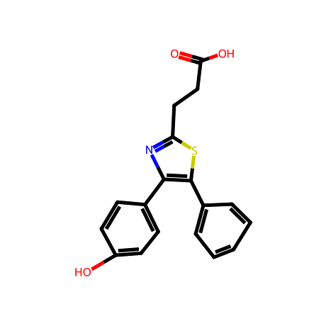 O=C(O)CCc1nc(-c2ccc(O)cc2)c(-c2ccccc2)s1